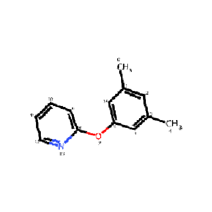 Cc1cc(C)cc(Oc2ccccn2)c1